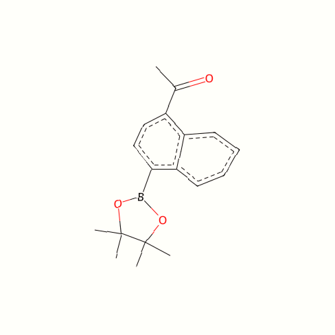 CC(=O)c1ccc(B2OC(C)(C)C(C)(C)O2)c2ccccc12